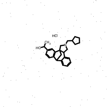 CC(O)c1ccc2c(c1)C13CC2c2ccccc2C1CN(CC1CCCC1)C3.Cl